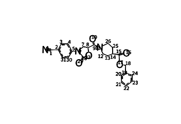 N#Cc1ccc(N2CC(C(=O)N3CCC(C(=O)OCc4ccccc4)CC3)OC2=O)cc1